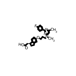 Cc1cc(N(C)CCCOc2ccc3c(c2)CC[C@H]3CC(=O)O)nc(-c2ccc(F)cc2)n1